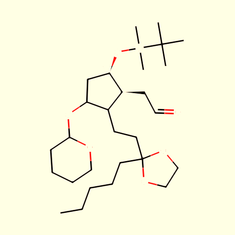 CCCCCC1(CCC2C(OC3CCCCO3)C[C@@H](O[Si](C)(C)C(C)(C)C)[C@H]2CC=O)OCCO1